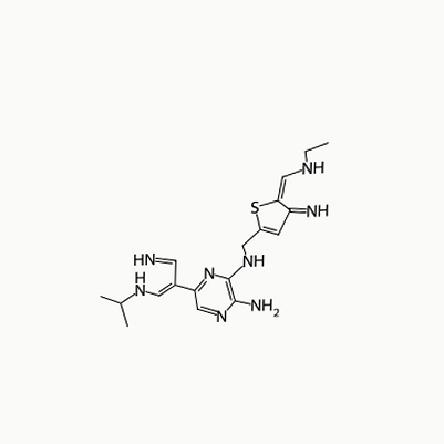 CCN/C=C1/SC(CNc2nc(/C(C=N)=C/NC(C)C)cnc2N)=CC1=N